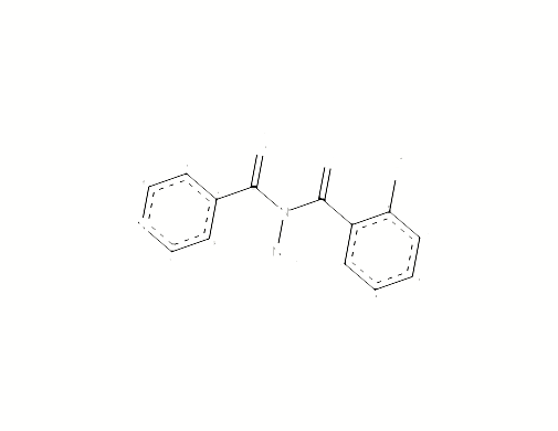 NN(C(=O)c1ccncc1)C(=O)c1ccccc1F